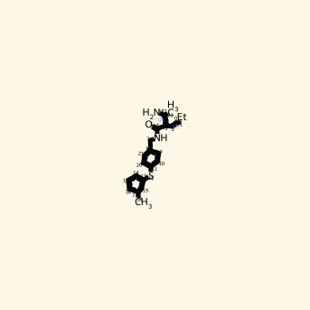 CC/C=C\C(C(=O)NCc1ccc(Sc2cccc(C)c2)cc1)=C(/C)N